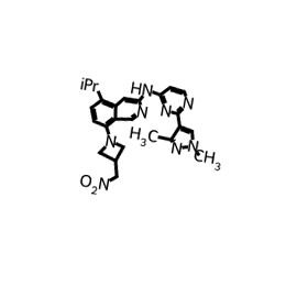 Cc1nn(C)cc1-c1nccc(Nc2cc3c(C(C)C)ccc(N4CC(C[N+](=O)[O-])C4)c3cn2)n1